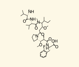 CCC(C)C(C(CC(=O)N1CCC[C@H]1C(OC)[C@@H](C)C(=O)N[C@@H](Cc1ccccc1F)C(=O)O)OC)N(C)C(=O)[C@@H](NC(=O)[C@@H](NC)C(C)C)C(C)C